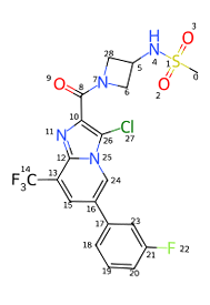 CS(=O)(=O)NC1CN(C(=O)c2nc3c(C(F)(F)F)cc(-c4cccc(F)c4)cn3c2Cl)C1